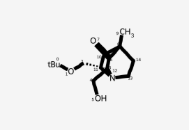 CC(C)(C)OC[C@]1(CO)C(=O)C2(C)CCN1CC2